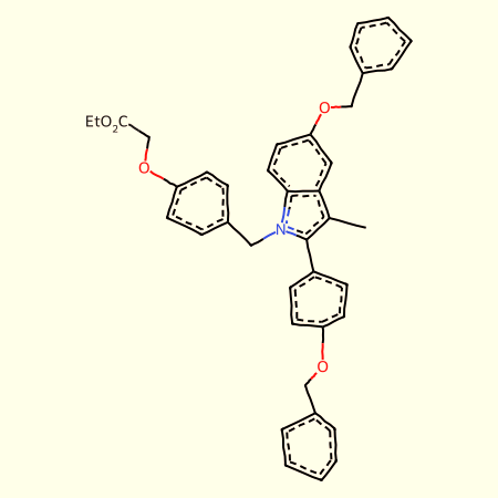 CCOC(=O)COc1ccc(Cn2c(-c3ccc(OCc4ccccc4)cc3)c(C)c3cc(OCc4ccccc4)ccc32)cc1